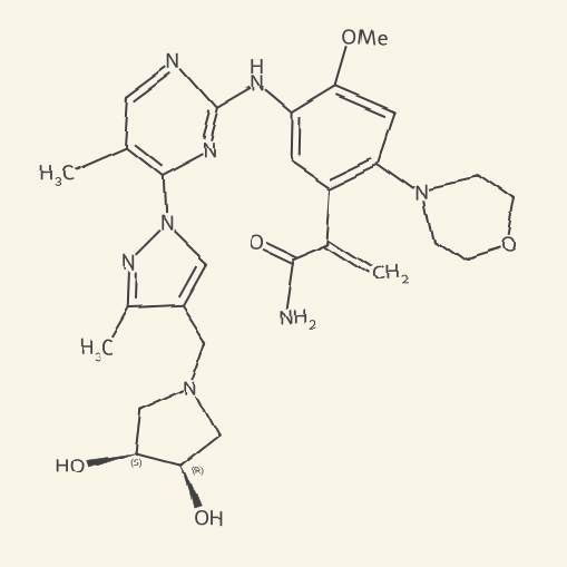 C=C(C(N)=O)c1cc(Nc2ncc(C)c(-n3cc(CN4C[C@@H](O)[C@@H](O)C4)c(C)n3)n2)c(OC)cc1N1CCOCC1